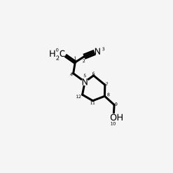 C=C(C#N)CN1CCC(CO)CC1